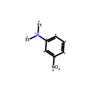 CCN(CC)c1cccc([N+](=O)[O-])c1